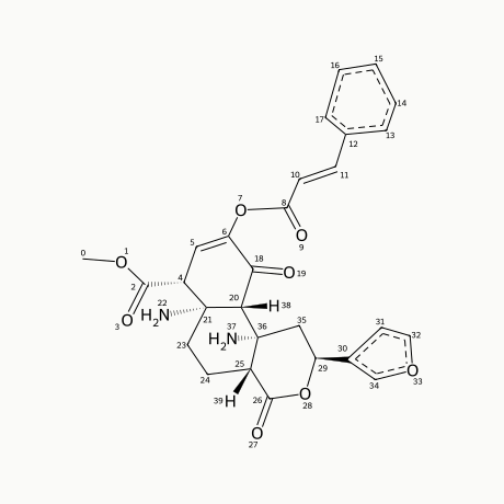 COC(=O)[C@@H]1C=C(OC(=O)/C=C/c2ccccc2)C(=O)[C@H]2[C@@]1(N)CC[C@H]1C(=O)O[C@H](c3ccoc3)C[C@]21N